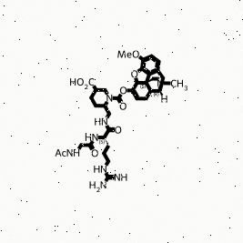 COc1ccc2c3c1OC1C(OC(=O)N4CC(C(=O)O)CCC4CNC(=O)[C@H](CCCNC(=N)N)NC(=O)CNC(C)=O)=CCC4[C@@H](C2)N(C)CC[C@]314